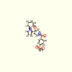 CC(C)S(=O)(=O)c1ccc(C(=O)N2CCC3(CC2)Oc2ccccc2-n2cccc23)cc1